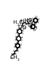 C=C(CCC(C)(C)[Si](O)(c1ccccc1)c1ccccc1)C(=O)OC1CCC(C2CCC(c3ccc(CCCCC)cc3)CC2)CC1